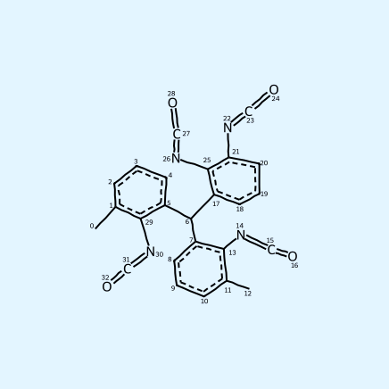 Cc1cccc(C(c2cccc(C)c2N=C=O)c2cccc(N=C=O)c2N=C=O)c1N=C=O